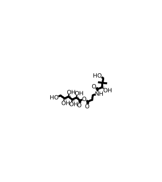 CC(C)(CO)[C@@H](O)C(=O)NCCC(=O)OC(=O)[C@H](O)[C@@H](O)[C@H](O)[C@H](O)CO